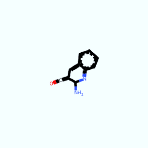 NC1N=c2ccccc2=CC1=C=O